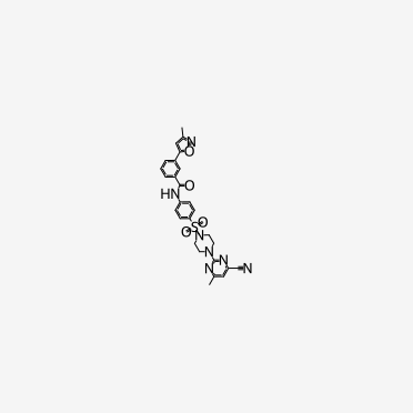 Cc1cc(-c2cccc(C(=O)Nc3ccc(S(=O)(=O)N4CCN(c5nc(C)cc(C#N)n5)CC4)cc3)c2)on1